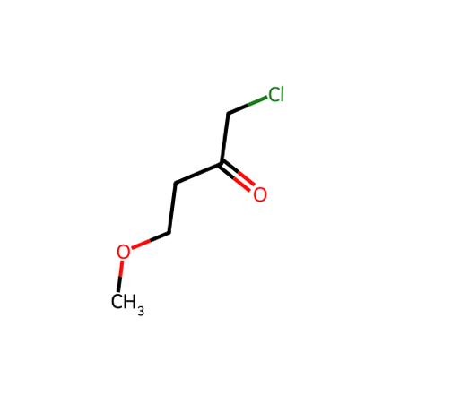 COCCC(=O)CCl